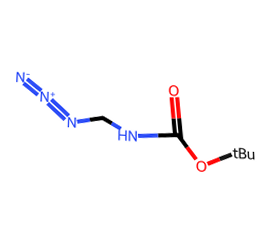 CC(C)(C)OC(=O)NCN=[N+]=[N-]